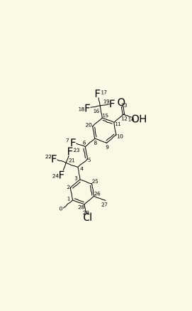 Cc1cc(C(C=C(F)c2ccc(C(=O)O)c(C(F)(F)F)c2)C(F)(F)F)cc(C)c1Cl